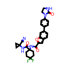 N#CC1(NC(=O)C2(NC(=O)c3cc4ccc(-c5ccc(N6CCNC6=O)cc5)cc4o3)CCC(F)(F)CC2)CC1